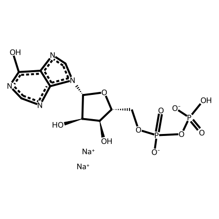 O=P([O-])(O)OP(=O)([O-])OC[C@H]1O[C@@H](n2cnc3c(O)ncnc32)[C@H](O)[C@@H]1O.[Na+].[Na+]